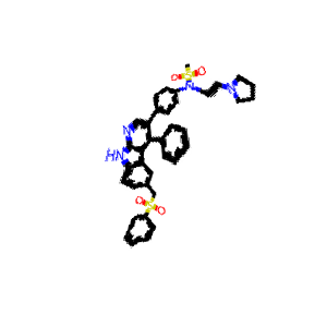 CS(=O)(=O)N(CCN1CCCC1)c1ccc(-c2cnc3[nH]c4ccc(CS(=O)(=O)c5ccccc5)cc4c3c2-c2ccccc2)cc1